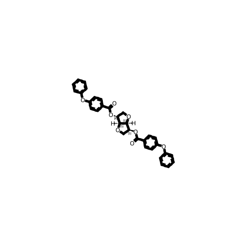 O=C(O[C@H]1CO[C@@H]2[C@H]1OC[C@H]2OC(=O)c1ccc(Oc2ccccc2)cc1)c1ccc(Oc2ccccc2)cc1